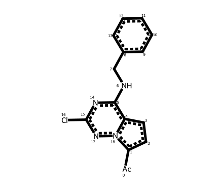 CC(=O)c1ccc2c(NCc3ccccc3)nc(Cl)nn12